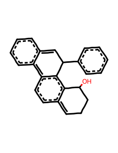 OC1CCC=c2ccc3c(c21)C(c1ccccc1)C=c1ccccc1=3